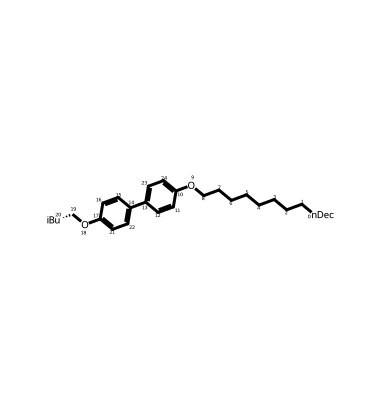 CCCCCCCCCCCCCCCCCCOc1ccc(-c2ccc(OC[C@@H](C)CC)cc2)cc1